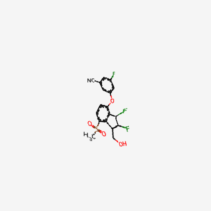 CS(=O)(=O)c1ccc(Oc2cc(F)cc(C#N)c2)c2c1C(CO)C(F)C2F